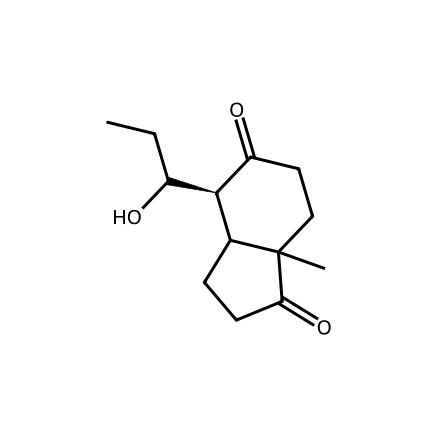 CCC(O)[C@H]1C(=O)CCC2(C)C(=O)CCC12